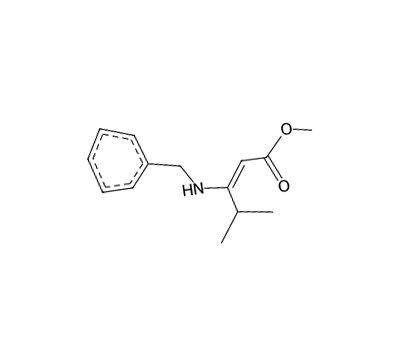 COC(=O)C=C(NCc1ccccc1)C(C)C